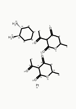 CC(=O)C1C(=O)CC(C)OC1=O.CC(=O)C1C(=O)CC(C)OC1=O.N[C@@H]1CCCC[C@H]1N.[Pt]